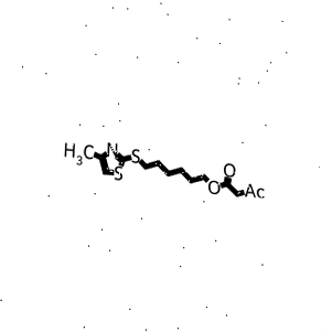 CC(=O)CC(=O)OCCCCCCSc1nc(C)cs1